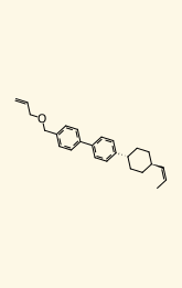 C=CCOCc1ccc(-c2ccc([C@H]3CC[C@H](/C=C\C)CC3)cc2)cc1